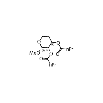 CCCC(=O)O[C@@H]1[C@H](OC)OCC[C@H]1OC(=O)CCC